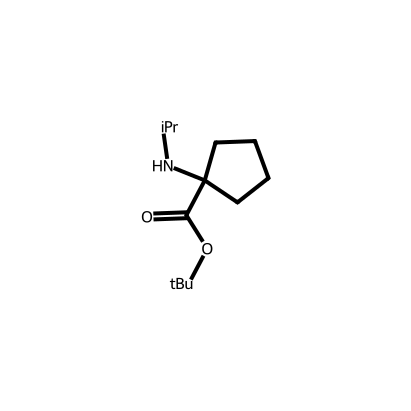 CC(C)NC1(C(=O)OC(C)(C)C)CCCC1